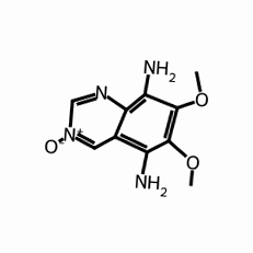 COc1c(OC)c(N)c2nc[n+]([O-])cc2c1N